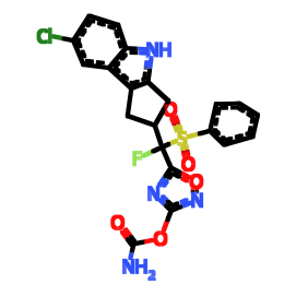 NC(=O)Oc1noc(C(F)(C2Cc3[nH]c4ccc(Cl)cc4c3C2)S(=O)(=O)c2ccccc2)n1